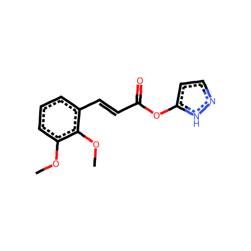 COc1cccc(C=CC(=O)Oc2ccn[nH]2)c1OC